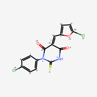 O=C1NC(=S)N(c2ccc(Cl)cc2)C(=O)/C1=C/c1ccc(Cl)o1